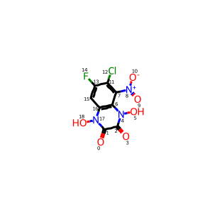 O=c1c(=O)n(O)c2c([N+](=O)[O-])c(Cl)c(F)cc2n1O